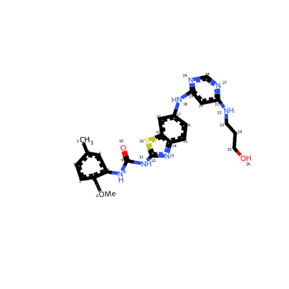 COc1ccc(C)cc1NC(=O)Nc1nc2ccc(Nc3cc(NCCCO)ncn3)cc2s1